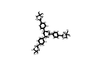 CC1(C)CSC(c2ccc(-c3cc(-c4ccc(C5=NC(C)(C)CS5)cc4)nc(-c4ccc(C5=NC(C)(C)CS5)cc4)n3)cc2)=N1